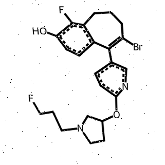 Oc1ccc2c(c1F)CCCC(Br)=C2c1ccc(OC2CCN(CCCF)C2)nc1